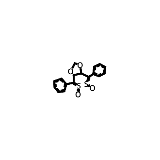 O=S=C(c1ccccc1)C1OCOC1C(=S=O)c1ccccc1